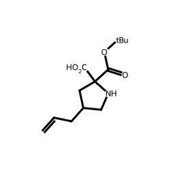 C=CCC1CNC(C(=O)O)(C(=O)OC(C)(C)C)C1